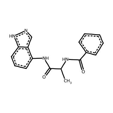 CC(NC(=O)c1ccccc1)C(=O)Nc1cccc2[nH]ncc12